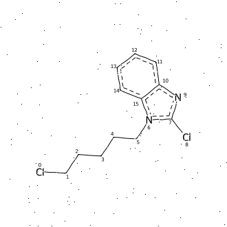 ClCCCCCn1c(Cl)nc2ccccc21